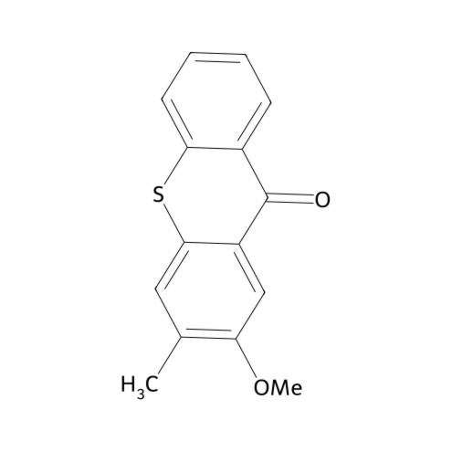 COc1cc2c(=O)c3ccccc3sc2cc1C